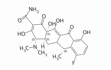 C[C@H]1c2c(F)ccc(O)c2C(=O)C2=C(O)[C@]3(O)C(=O)C(C(N)=O)=C(O)[C@@H](N(C)C)[C@@H]3CC21